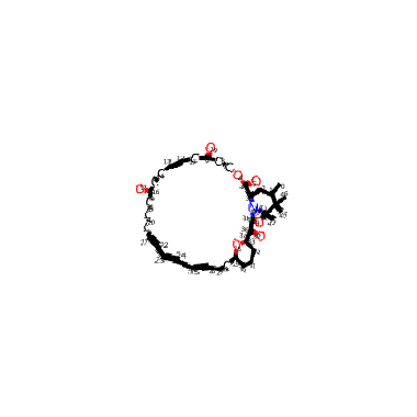 CC1CC2C(=O)OCCC(=O)C/C=C\CCC(=O)CCC/C=C/C=C/C=C/CCC3CCCC(C)(O3)C(=O)C(=O)N2C(C)(C)C1(C)C